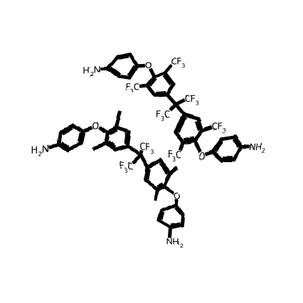 Cc1cc(C(c2cc(C)c(Oc3ccc(N)cc3)c(C)c2)(C(F)(F)F)C(F)(F)F)cc(C)c1Oc1ccc(N)cc1.Nc1ccc(Oc2c(C(F)(F)F)cc(C(c3cc(C(F)(F)F)c(Oc4ccc(N)cc4)c(C(F)(F)F)c3)(C(F)(F)F)C(F)(F)F)cc2C(F)(F)F)cc1